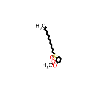 CCCCCCCCCCCCCC[S@+]([O-])C1CCCCC1OC(C)=O